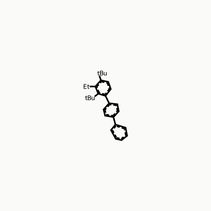 CCc1c(C(C)(C)C)ccc(-c2ccc(-c3ccccc3)cc2)c1C(C)(C)C